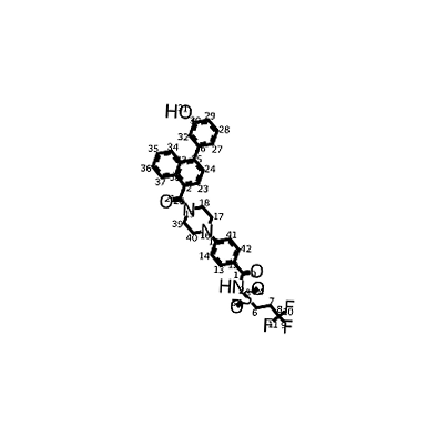 O=C(NS(=O)(=O)CCC(F)(F)F)c1ccc(N2CCN(C(=O)c3ccc(-c4cccc(O)c4)c4ccccc34)CC2)cc1